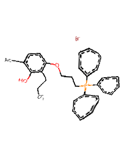 CC(=O)c1ccc(OCCC[P+](c2ccccc2)(c2ccccc2)c2ccccc2)c(CCC(F)(F)F)c1O.[Br-]